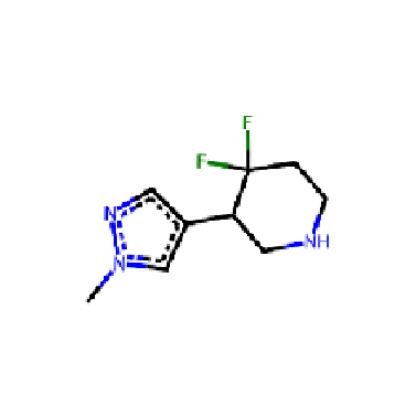 Cn1cc(C2CNCCC2(F)F)cn1